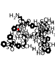 CCC(C)[C@@H]([C@@H](CC(=O)N1CCC[C@H]1[C@H](OC)C(C)C(=O)N[C@H](C)[C@@H](O)c1ccccc1)OC)N(C)C(=O)[C@@H](NC(=O)[C@H](C(C)C)N(C)C(=O)OCc1ccc(NC(=O)[C@H](CCCCN)NC(=O)[C@H](Cc2ccccc2)NC(=O)[C@@H](C)NC(=O)CC(C)(C)OCCC(C)(C)Oc2ccc(N3C(=O)C(Sc4ccccc4)=C(Sc4ccccc4)C3=O)cc2)cc1)C(C)C